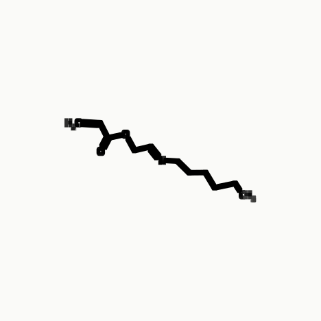 C=CC(=O)OCC=NCCCCCC